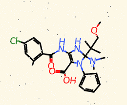 COCC(C)(C)C1(N(C)C)NC(NC(=O)c2ccc(Cl)cc2C)=C(C(=O)O)N1c1ccccc1